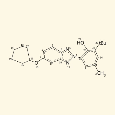 Cc1cc(-n2nc3ccc(OC4CCCCC4)cc3n2)c(O)c(C(C)(C)C)c1